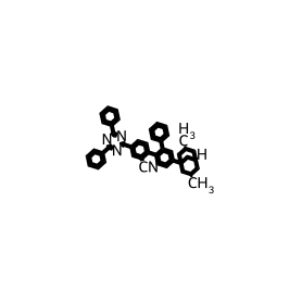 C[C@@H]1C[C@@H]2C[C@H](C)CC(c3ccc(-c4ccc(-c5nc(-c6ccccc6)nc(-c6ccccc6)n5)cc4C#N)c(-c4ccccc4)c3)(C1)C2